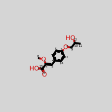 COC(=Cc1ccc(OCC(C)O)cc1)C(=O)O